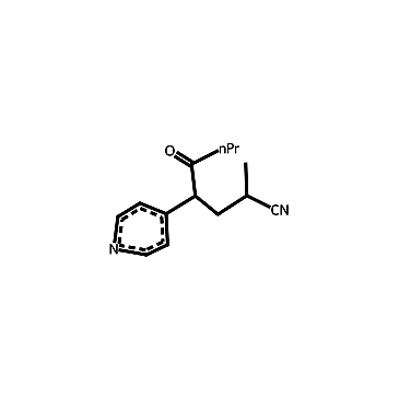 CCCC(=O)C(CC(C)C#N)c1ccncc1